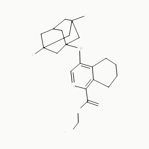 CCOC(=O)c1ncc(NC23CC4CC(F)(CC(F)(C4)C2)C3)c2c1CCCC2